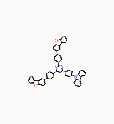 c1ccc2c(c1)oc1ccc(-c3ccc(-c4cc(-c5ccc(-n6c7ccccc7c7ccccc76)cc5)nc(-c5ccc(-c6ccc7oc8ccccc8c7c6)cc5)n4)cc3)cc12